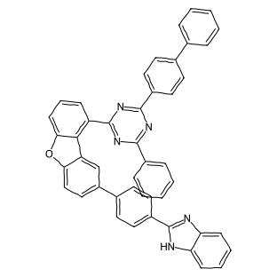 c1ccc(-c2ccc(-c3nc(-c4ccccc4)nc(-c4cccc5oc6ccc(-c7ccc(-c8nc9ccccc9[nH]8)cc7)cc6c45)n3)cc2)cc1